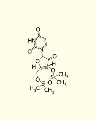 C[Si]1(C)OC[C@H]2OC(n3ccc(=O)[nH]c3=O)C(=O)[C@@H]2O[Si](C)(C)O1